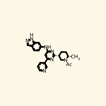 CC(=O)N1C[C@H](c2nc(Nc3ccc4cn[nH]c4c3)cc(-c3cccnc3)n2)CC[C@@H]1C